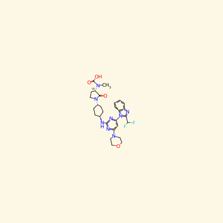 CN(C(=O)O)[C@H]1CCN([C@H]2CC[C@H](Nc3nc(N4CCOCC4)cc(-n4c(C(F)F)nc5ccccc54)n3)CC2)C1=O